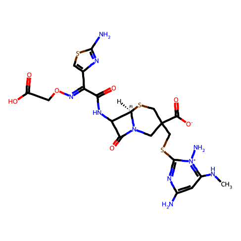 CNc1cc(N)nc(SCC2(C(=O)[O-])CS[C@@H]3C(NC(=O)C(=NOCC(=O)O)c4csc(N)n4)C(=O)N3C2)[n+]1N